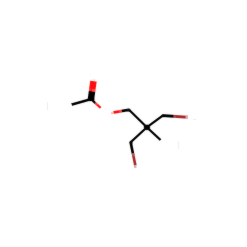 CC(=O)OCC(C)(CBr)CBr